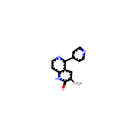 O=C(O)c1cc2c(-c3ccncc3)nccc2[nH]c1=O